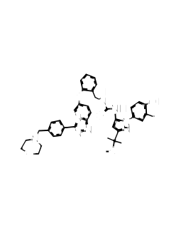 CSC(C)(C)c1cc(NC(=O)NCc2ccccc2Sc2ccc3nnc(-c4ccc(CN5CCOCC5)cc4)n3c2)n(-c2ccc(O)c(F)c2)n1